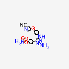 N#Cc1cc(Oc2ccc(Nc3cc(-c4ccc(OS(N)(=O)=O)cc4)nc(N)n3)cc2)ccn1